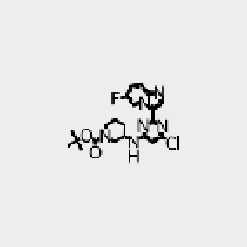 CC(C)(C)OC(=O)N1CCCC(Nc2cc(Cl)nc(-c3cnc4ccc(F)cn34)n2)C1